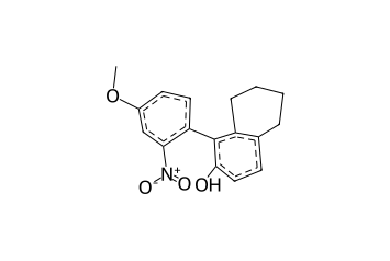 COc1ccc(-c2c(O)ccc3c2CCCC3)c([N+](=O)[O-])c1